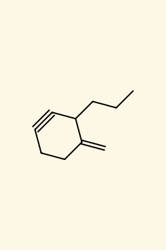 C=C1CCC#CC1CCC